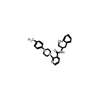 Cc1ccc(N2CCN(c3ncccc3C(=O)NC(CO)Cc3ccccc3)CC2)cc1